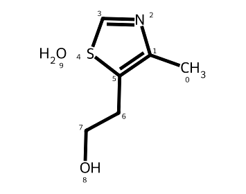 Cc1ncsc1CCO.O